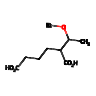 CCOC(C)C(CCCC(=O)O)C(=O)O